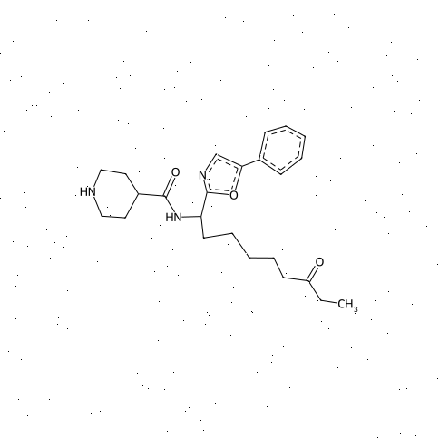 CCC(=O)CCCCCC(NC(=O)C1CCNCC1)c1ncc(-c2ccccc2)o1